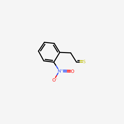 O=[N+]([O-])c1ccccc1CC=S